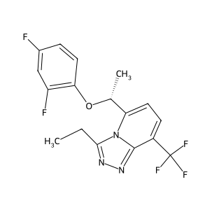 CCc1nnc2c(C(F)(F)F)ccc([C@@H](C)Oc3ccc(F)cc3F)n12